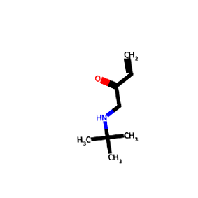 C=CC(=O)CNC(C)(C)C